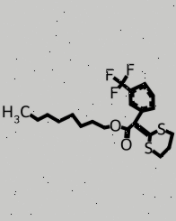 CCCCCCCCOC(=O)C(=C1SCCCS1)c1cccc(C(F)(F)F)c1